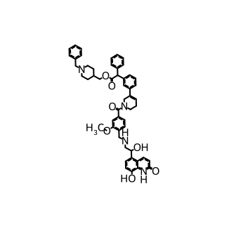 COc1cc(C(=O)N2CCC=C(c3cccc(C(C(=O)OCC4CCN(Cc5ccccc5)CC4)c4ccccc4)c3)C2)ccc1CNCC(O)c1ccc(O)c2[nH]c(=O)ccc12